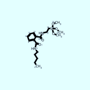 CCCCCNC(=O)c1ccccc1C(=O)NCC[Si](OC)(OC)OC